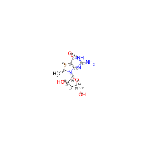 C=C1Sc2c(nc(N)[nH]c2=O)N1[C@@H]1O[C@H](CO)C[C@H]1O